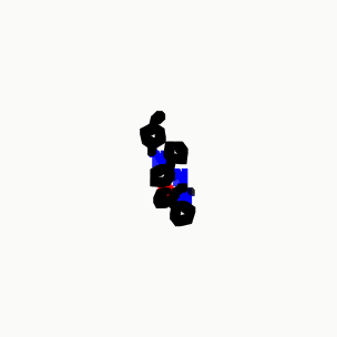 C=Cc1ccc(Cn2c3ccccc3c3c4c(ccc32)OC2(C=N4)N(C)c3ccccc3C23CCCCC3)cc1